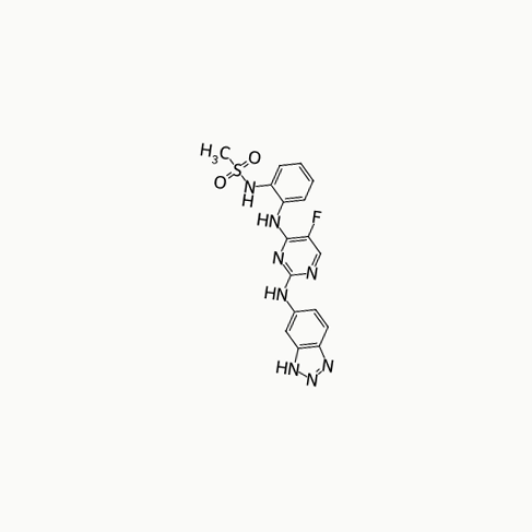 CS(=O)(=O)Nc1ccccc1Nc1nc(Nc2ccc3nn[nH]c3c2)ncc1F